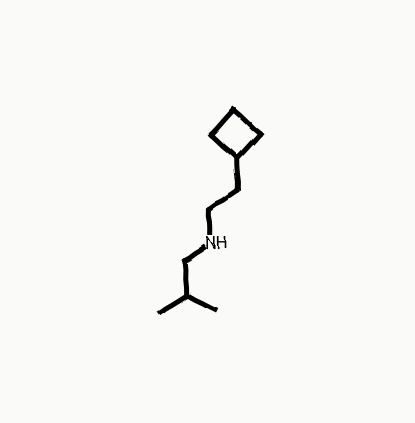 CC(C)CNCCC1CCC1